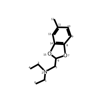 CCN(CC)CC1Oc2ccc(C)cc2O1